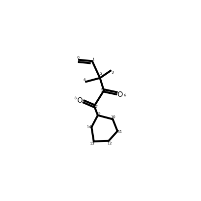 C=CC(C)(C)C(=O)C(=O)C1CCCCC1